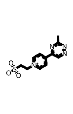 Cc1nncc(-c2cc[n+](CCS(=O)(=O)[O-])cc2)n1